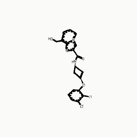 O=C(N[C@H]1C[C@H](Oc2cccc(Cl)c2Cl)C1)c1cn2cccc(CO)c2n1